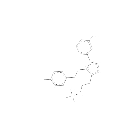 CC(C)(C)[Si](C)(C)OCCc1cnn(-c2cc(C(=O)O)ccn2)c1OCc1ccc(F)cc1